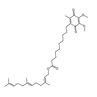 COC1=C(OC)C(=O)C(CCCCCCCCCC(=O)OC/C=C(\C)CC/C=C(\C)CCC=C(C)C)=C(C)C1=O